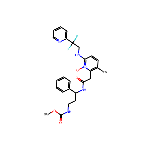 CC(C)(C)OC(=O)NCCC(NC(=O)Cc1c(C#N)ccc(NCC(F)(F)c2ccccn2)[n+]1[O-])c1ccccc1